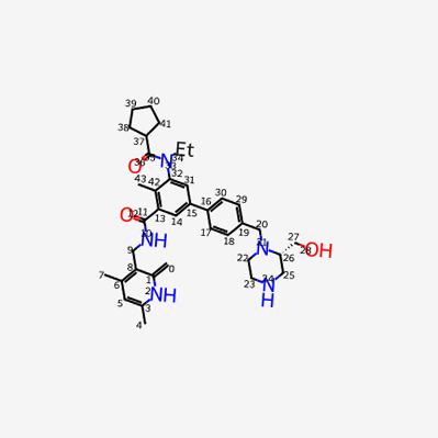 C=C1NC(C)=CC(C)=C1CNC(=O)c1cc(-c2ccc(CN3CCNC[C@H]3CO)cc2)cc(N(CC)C(=O)C2CCCC2)c1C